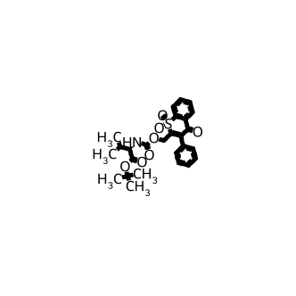 CC(C)[C@H](NC(=O)OCC1=C(c2ccccc2)C(=O)c2ccccc2S1(=O)=O)C(=O)OC(C)(C)C